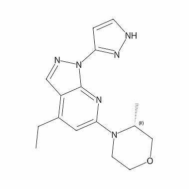 CCc1cc(N2CCOC[C@H]2C)nc2c1cnn2-c1cc[nH]n1